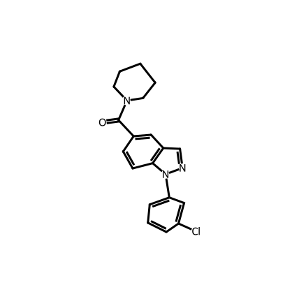 O=C(c1ccc2c(cnn2-c2cccc(Cl)c2)c1)N1CCCCC1